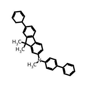 CN(c1ccc(-c2ccccc2)cc1)c1ccc2c(c1)C(C)(C)c1cc(C3C=CC=CC3)ccc1-2